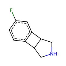 Fc1ccc2c(c1)C1CNCC21